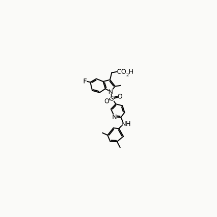 Cc1cc(C)cc(Nc2ccc(S(=O)(=O)n3c(C)c(CC(=O)O)c4cc(F)ccc43)cn2)c1